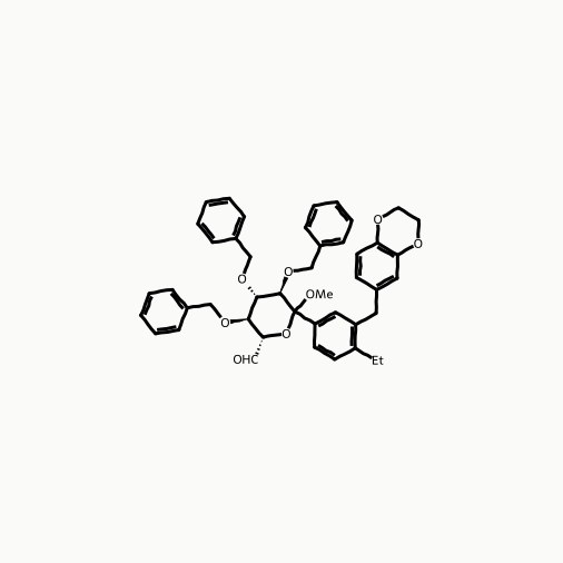 CCc1ccc(C2(OC)O[C@H](C=O)[C@@H](OCc3ccccc3)[C@H](OCc3ccccc3)[C@H]2OCc2ccccc2)cc1Cc1ccc2c(c1)OCCO2